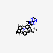 Cc1cccc(C)c1N(c1c(C)c(C)c(-c2cnc3nccnc3n2)c(C)c1C)c1cccc2ccccc12